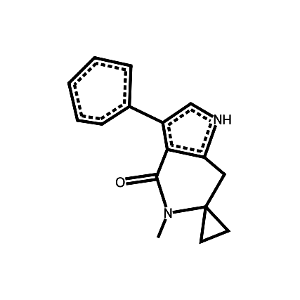 CN1C(=O)c2c(-c3ccccc3)c[nH]c2CC12CC2